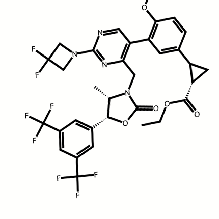 CCOC(=O)[C@H]1CC1c1ccc(OC)c(-c2cnc(N3CC(F)(F)C3)nc2CN2C(=O)O[C@H](c3cc(C(F)(F)F)cc(C(F)(F)F)c3)[C@@H]2C)c1